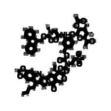 CCCCc1c2c(nc3cc4c(cc13)OCO4)-c1cc3c(c(=O)n1C2)COC(=O)[C@@]3(CC)OCN(CCS(C)(=O)=O)C(=O)OCc1ccc(O[C@@H]2O[C@H](C(C)=O)[C@@H](C)[C@H](C)[C@H]2OC(C)=O)c(NC(=O)CN(C)C(=O)OCC2c3ccccc3-c3ccccc32)c1